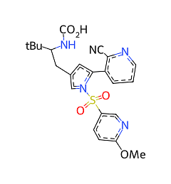 COc1ccc(S(=O)(=O)n2cc(CC(NC(=O)O)C(C)(C)C)cc2-c2cccnc2C#N)cn1